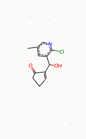 Cc1cnc(Cl)c(C(O)C2=CCCC2=O)c1